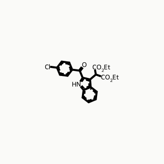 CCOC(=O)C(C(=O)OCC)c1c(C(=O)c2ccc(Cl)cc2)[nH]c2ccccc12